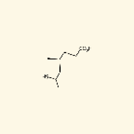 CC(S)C[C@@H](C)CCC(=O)O